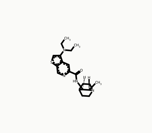 CCN(CC)c1csc2cnc(C(=O)N[C@@H]3C4CCN(CC4)[C@H]3C)cc12